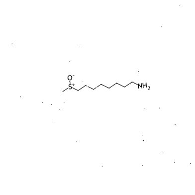 C[S+]([O-])CCCCCCCCN